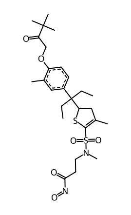 CCC(CC)(c1ccc(OCC(=O)C(C)(C)C)c(C)c1)C1CC(C)=C(S(=O)(=O)N(C)CCC(=O)N=O)S1